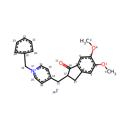 COc1cc2c(cc1OC)C(=O)C(Cc1cc[n+](Cc3ccccc3)cc1)C2.[I-]